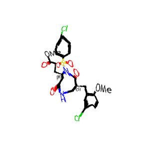 COC(=O)CC[C@@H]1C(=O)NC[C@H](Cc2cc(Cl)ccc2OC)C(=O)N1S(=O)(=O)c1ccc(Cl)cc1